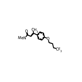 CNC(=O)C=C(C)c1ccc(OCCCC(F)(F)F)cc1